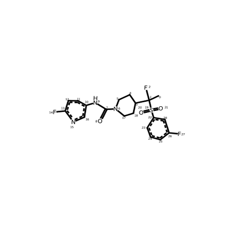 CC(F)(C1CCN(C(=O)Nc2ccc(F)nc2)CC1)S(=O)(=O)c1cccc(F)c1